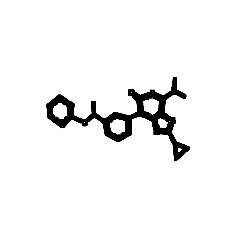 CC(Oc1ccccc1)c1cccc(-n2c(=O)nc(N(C)C)c3sc(C4CC4)nc32)c1